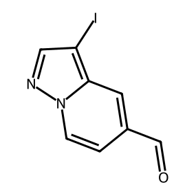 O=Cc1ccn2ncc(I)c2c1